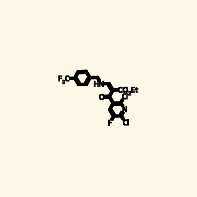 CCOC(=O)C(=CNCc1ccc(C(F)(F)F)cc1)C(=O)c1cc(F)c(Cl)nc1Cl